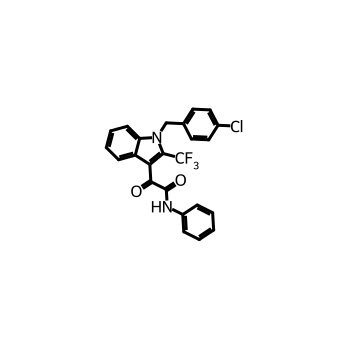 O=C(Nc1ccccc1)C(=O)c1c(C(F)(F)F)n(Cc2ccc(Cl)cc2)c2ccccc12